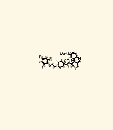 COc1ccc2ncc(CF)c([C@H](O)CCC3(C(=O)O)CCN(CCSc4c(F)cc(F)cc4F)CC3)c2c1